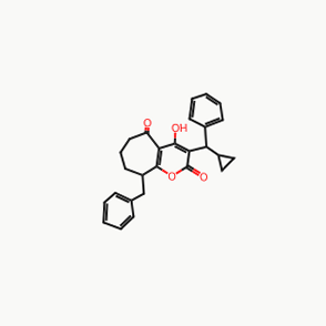 O=C1CCCC(Cc2ccccc2)c2oc(=O)c(C(c3ccccc3)C3CC3)c(O)c21